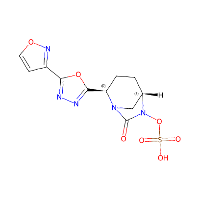 O=C1N2C[C@H](CC[C@@H]2c2nnc(-c3ccon3)o2)N1OS(=O)(=O)O